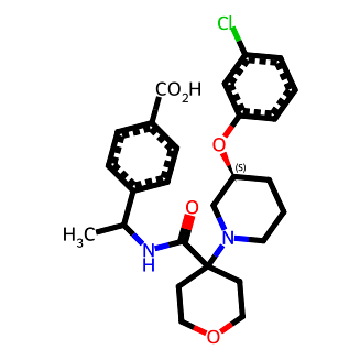 CC(NC(=O)C1(N2CCC[C@H](Oc3cccc(Cl)c3)C2)CCOCC1)c1ccc(C(=O)O)cc1